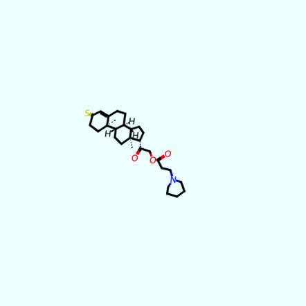 C[C@]12CC[C@H]3[C@@H](CCC4=CC(=S)CC[C@@]43C)[C@@H]1CC[C@@H]2C(=O)COC(=O)CCN1CCCCC1